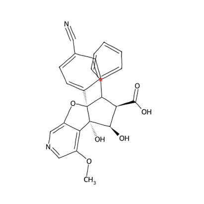 COc1cncc2c1[C@]1(O)[C@H](O)[C@H](C(=O)O)C(c3ccccc3)[C@]1(c1ccc(C#N)cc1)O2